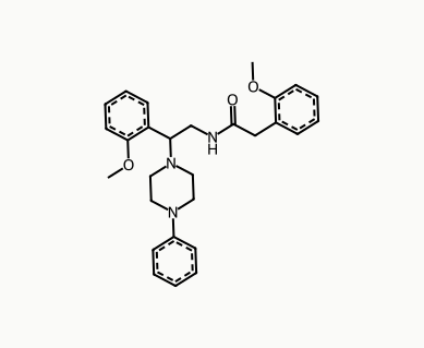 COc1ccccc1CC(=O)NCC(c1ccccc1OC)N1CCN(c2ccccc2)CC1